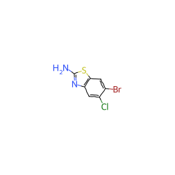 Nc1nc2cc(Cl)c(Br)cc2s1